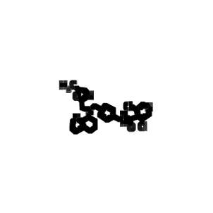 Cc1cnc(CN(Cc2ccc(CNC(=O)c3c(Cl)cncc3Cl)cc2)C2CCCc3cccnc32)o1